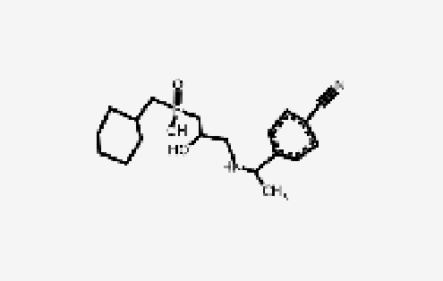 CC(NCC(O)CP(=O)(O)CC1CCCCC1)c1ccc(C#N)cc1